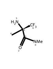 CNC(=O)[C@](C)(N)C(F)(F)F